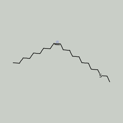 CCCCCCCC/C=C\CCCCCCCCSCC